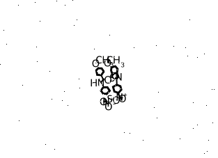 COc1ccc(C(=O)Nc2ccc(S[N+](=O)[O-])cc2)cc1.COc1ccc2nc(-c3ccc([N+](=O)[O-])cc3)sc2c1